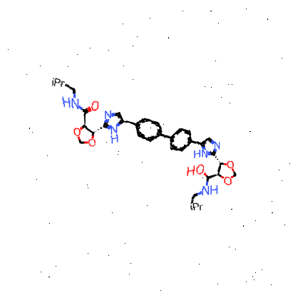 CC(C)CNC(=O)[C@@H]1OCO[C@H]1c1ncc(-c2ccc(-c3ccc(-c4cnc([C@@H]5OCO[C@H]5C(O)NCC(C)C)[nH]4)cc3)cc2)[nH]1